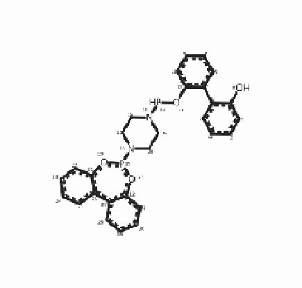 Oc1ccccc1-c1ccccc1OPN1CCN(p2oc3ccccc3c3ccccc3o2)CC1